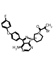 C=C(Br)C(=O)N1CCC[C@@H](n2nc(-c3ccc(Oc4ccc(F)cc4)cc3)c3c(N)ncnc32)C1